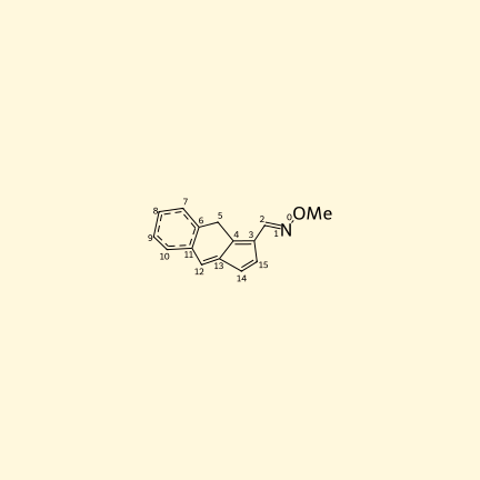 CON=CC1=C2Cc3ccccc3C=C2C=C1